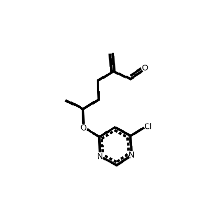 C=C(C=O)CCC(C)Oc1cc(Cl)ncn1